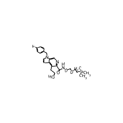 C[Si](C)(C)CCOCONC(=O)c1ncc2c(ccn2Cc2ccc(F)cc2)c1CCO